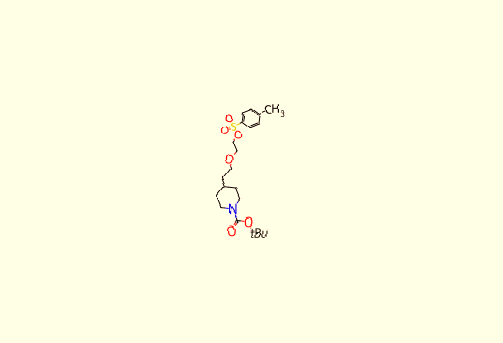 Cc1ccc(S(=O)(=O)OCCOCCC2CCN(C(=O)OC(C)(C)C)CC2)cc1